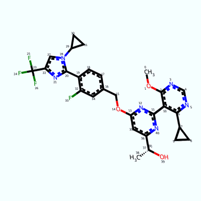 COc1ncnc(C2CC2)c1-c1nc(OCc2ccc(-c3nc(C(F)(F)F)cn3C3CC3)c(F)c2)cc([C@@H](C)O)n1